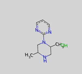 CC1CN(c2ncccn2)C(C)CN1.Cl